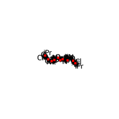 CC(C)Oc1ccc(-c2nc(-c3cccc4c(OC(=O)C5CCN(c6nccc7c(-c8noc(-c9ccc(OC(C)C)c(Cl)c9)n8)cccc67)CC5)nccc34)no2)cc1Cl